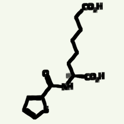 O=C(O)CCCCC[C@H](NC(=O)c1cccs1)C(=O)O